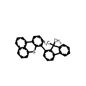 CC1(C)c2ccccc2-c2cccc(-c3cccc4c3Sc3cccc5cccc-4c35)c21